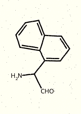 NC([C]=O)c1cccc2ccccc12